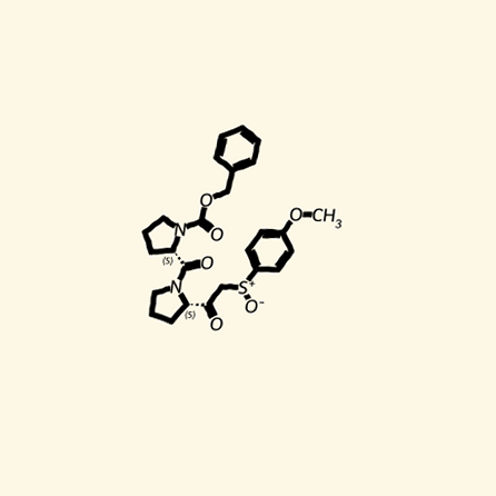 COc1ccc([S+]([O-])CC(=O)[C@@H]2CCCN2C(=O)[C@@H]2CCCN2C(=O)OCc2ccccc2)cc1